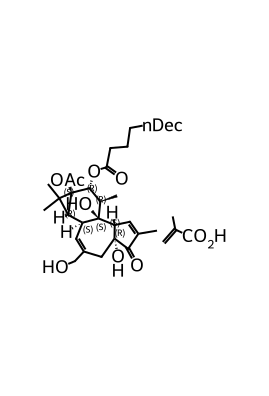 C=C(C)C(=O)O.CCCCCCCCCCCCCC(=O)O[C@@H]1[C@@H](C)[C@@]2(O)[C@@H](C=C(CO)C[C@]3(O)C(=O)C(C)=C[C@@H]23)[C@@H]2C(C)(C)[C@]12OC(C)=O